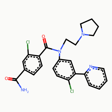 NC(=O)c1ccc(C(=O)N(CCN2CCCC2)c2ccc(Cl)c(-c3ccccn3)c2)c(Cl)c1